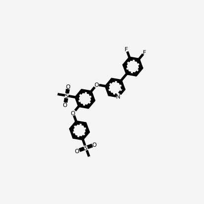 CS(=O)(=O)c1ccc(Oc2ccc(Oc3cncc(-c4ccc(F)c(F)c4)c3)cc2S(C)(=O)=O)cc1